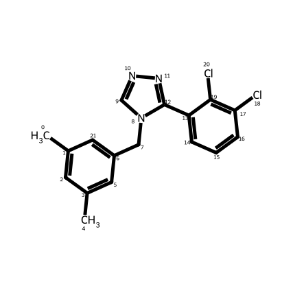 Cc1cc(C)cc(Cn2cnnc2-c2cccc(Cl)c2Cl)c1